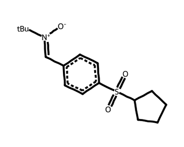 CC(C)(C)[N+]([O-])=Cc1ccc(S(=O)(=O)C2CCCC2)cc1